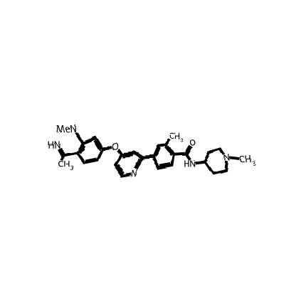 CNc1cc(Oc2ccnc(-c3ccc(C(=O)NC4CCN(C)CC4)c(C)c3)c2)ccc1C(C)=N